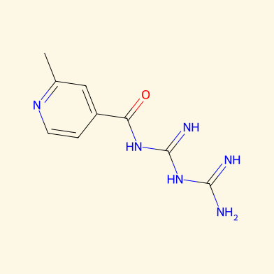 Cc1cc(C(=O)NC(=N)NC(=N)N)ccn1